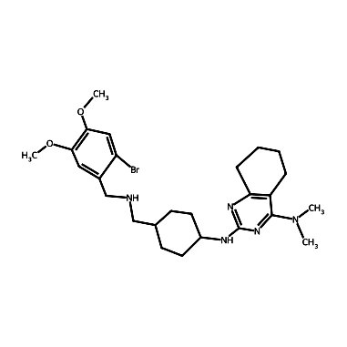 COc1cc(Br)c(CNCC2CCC(Nc3nc4c(c(N(C)C)n3)CCCC4)CC2)cc1OC